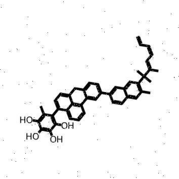 C=C/C=C\C=C(/C)C(C)(C)c1cc2cc(-c3ccc4c(c3)-c3cccc5c(-c6c(C)c(O)c(O)c(O)c6O)ccc(c35)C4)ccc2cc1C